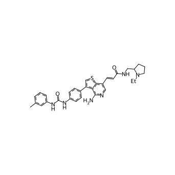 CCN1CCCC1CNC(=O)C=Cc1cnc(N)c2c(-c3ccc(NC(=O)Nc4cccc(C)c4)cc3)csc12